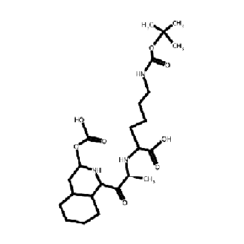 C[C@H](NC(CCCCNC(=O)OC(C)(C)C)C(=O)O)C(=O)C1NC(OC(=O)O)CC2CCCCC21